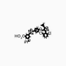 CC(C)Oc1cc(C(=O)O)cc(-c2noc(C34CCC(OCc5c(-c6c(Cl)cncc6Cl)noc5C5CC5)(CC3)CC4)n2)c1